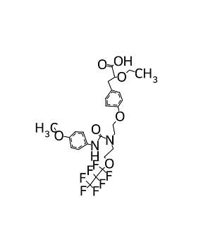 CCOC(Cc1ccc(OCCN(CCOC(F)(F)C(F)(F)C(F)(F)F)C(=O)Nc2ccc(OC)cc2)cc1)C(=O)O